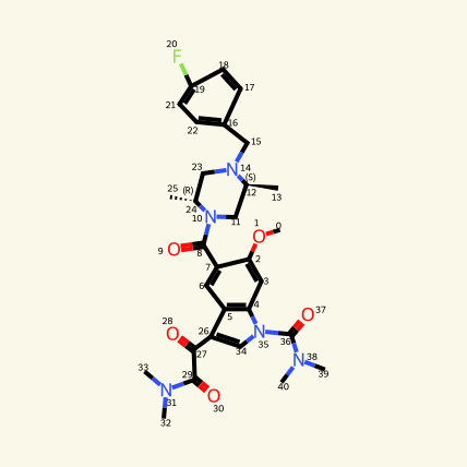 COc1cc2c(cc1C(=O)N1C[C@H](C)N(Cc3ccc(F)cc3)C[C@H]1C)c(C(=O)C(=O)N(C)C)cn2C(=O)N(C)C